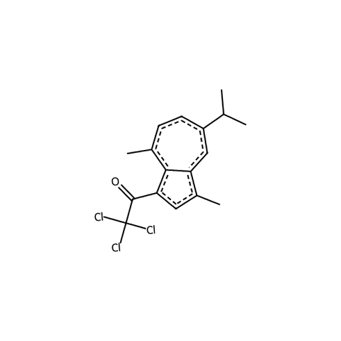 Cc1cc(C(=O)C(Cl)(Cl)Cl)c2c(C)ccc(C(C)C)cc1-2